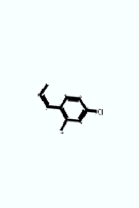 C/C=C\c1ccc(Cl)cc1C